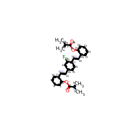 C=C(C)C(=O)Oc1ccccc1/C=C/c1ccc(/C=C/c2ccccc2OC(=O)C(=C)C)c(F)c1